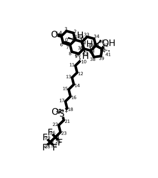 C[C@]12CCC(=O)C=C1C[C@@H](CCCCCCCCC[S+]([O-])CCCC(F)(F)C(F)(F)F)[C@@H]1[C@@H]2CC[C@@]2(C)[C@H]1CC[C@]2(C)O